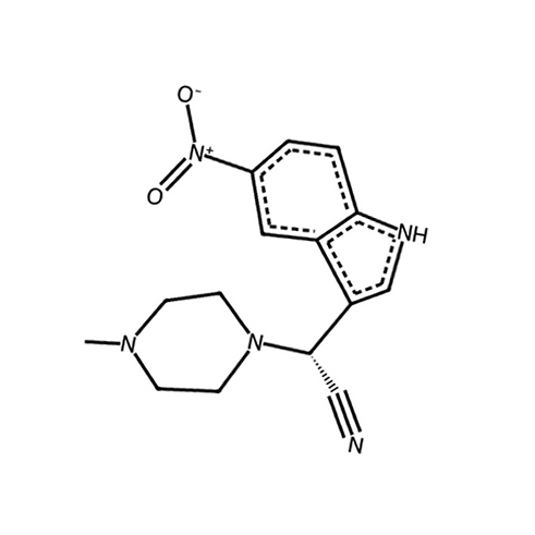 CN1CCN([C@@H](C#N)c2c[nH]c3ccc([N+](=O)[O-])cc23)CC1